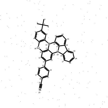 CC(C)(C)c1ccc2c(c1)B1c3c(cc(-c4ccc(C#N)cc4)cc3-n3c4ccccc4c4cccc1c43)O2